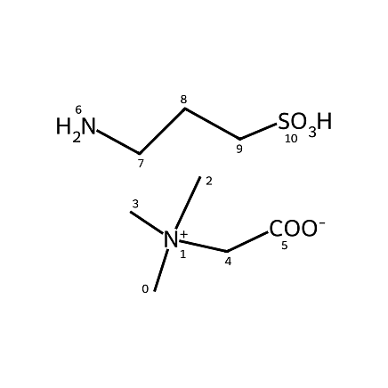 C[N+](C)(C)CC(=O)[O-].NCCCS(=O)(=O)O